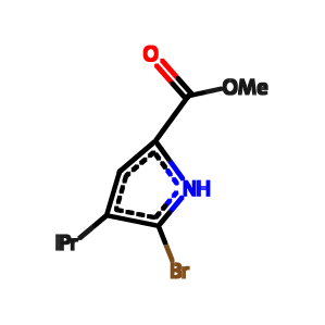 COC(=O)c1cc(C(C)C)c(Br)[nH]1